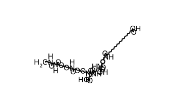 C=CCNC(=O)CNC(=O)COCCOCCNC(=O)COCCOCCNC(=O)[C@H](CCC(=O)O)NC(=O)CC[C@H](NC(=O)C1CCC(CNC(=O)CCCCCCCCCCCCCCCCCCC(=O)O)CC1)C(=O)O